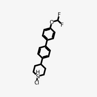 FC(F)Oc1ccc(-c2ccc(C3CC[SiH](Cl)CC3)cc2)cc1